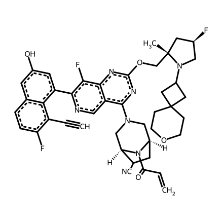 C#Cc1c(F)ccc2cc(O)cc(-c3ncc4c(N5C[C@H]6CC(C#N)[C@@H](C5)N6C(=O)C=C)nc(OC[C@]5(C)C[C@@H](F)CN5C5CC6(CCOCC6)C5)nc4c3F)c12